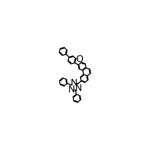 c1ccc(-c2ccc3c(c2)oc2cc4ccc5ccc(-c6nc(-c7ccccc7)nc(-c7ccccc7)n6)cc5c4cc23)cc1